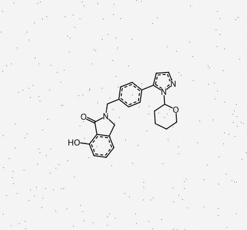 O=C1c2c(O)cccc2CN1Cc1ccc(-c2ccnn2C2CCCCO2)cc1